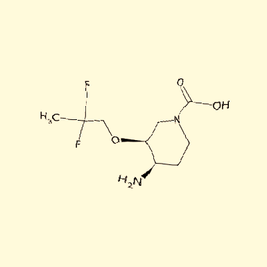 CC(F)(F)CO[C@H]1CN(C(=O)O)CC[C@H]1N